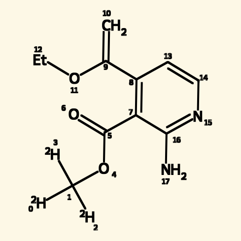 [2H]C([2H])([2H])OC(=O)c1c(C(=C)OCC)ccnc1N